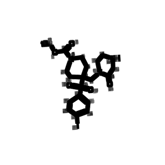 CC(C)(C)OC(=O)N1CCC(CN2CCNCC2=O)(S(=O)(=O)c2ccc(I)cc2)CC1